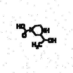 CC(O)C1CN(C(=O)O)CCN1